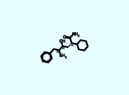 NC(=O)[C@@H](C[C@H](O)[C@@H](N)Cc1ccccc1)C1CCCCC1